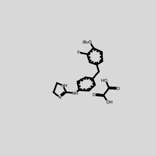 CC(C)COc1ccc(Cc2ccc(NC3=NCCN3)cc2)cc1F.O=C(O)C(=O)O